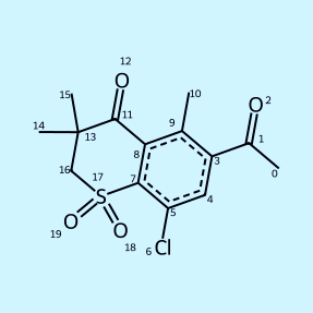 CC(=O)c1cc(Cl)c2c(c1C)C(=O)C(C)(C)CS2(=O)=O